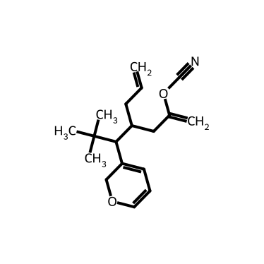 C=CCC(CC(=C)OC#N)C(C1=CC=COC1)C(C)(C)C